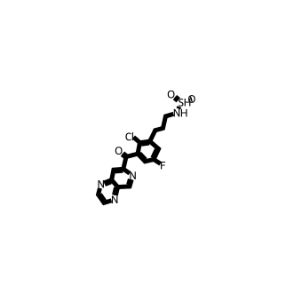 O=C(c1cc2nccnc2cn1)c1cc(F)cc(CCCN[SH](=O)=O)c1Cl